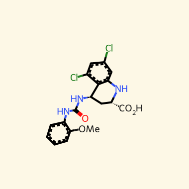 COc1ccccc1NC(=O)N[C@@H]1C[C@@H](C(=O)O)Nc2cc(Cl)cc(Cl)c21